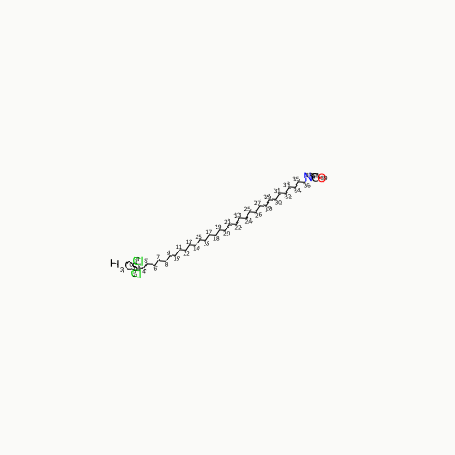 C[Si](Cl)(Cl)CCCCCCCCCCCCCCCCCCCCCCCCCCCCCCCCCN=C=O